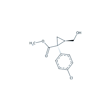 COC(=O)[C@@]1(c2ccc(Cl)cc2)C[C@H]1CO